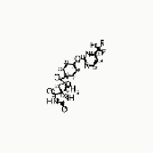 C[C@]1(CS(=O)(=O)N2CCC(Oc3nccc(C(F)(F)F)n3)CC2)NC(=O)NC1=O